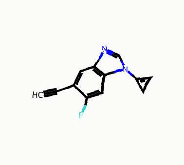 C#Cc1cc2ncn(C3=CC3)c2cc1F